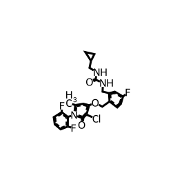 Cc1cc(OCc2ccc(F)cc2CNC(=O)NCC2CC2)c(Cl)c(=O)n1-c1c(F)cccc1F